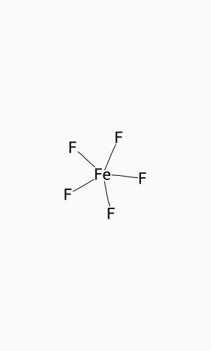 [F][Fe]([F])([F])([F])[F]